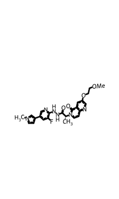 COCCOc1cnc2ccn([C@H](C)C(=O)NNc3ncc(-c4ccn(C)c4)cc3F)c(=O)c2c1